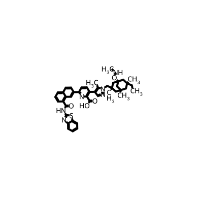 CCC1(C)CC2(C)CC(C)(Cn3ncc(-c4ccc(-c5ccc6cccc(C(=O)Nc7nc8ccccc8s7)c6c5)nc4C(=O)O)c3C)CC(ONC)(C1)C2